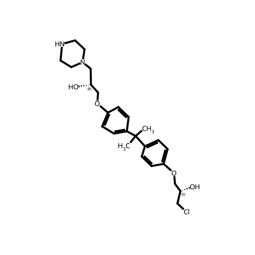 CC(C)(c1ccc(OC[C@H](O)CCl)cc1)c1ccc(OC[C@H](O)CN2CCNCC2)cc1